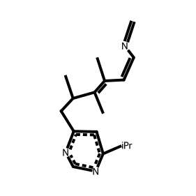 C=N/C=C\C(C)=C(/C)C(C)Cc1cc(C(C)C)ncn1